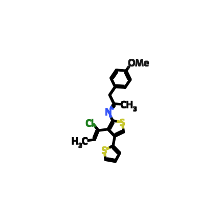 CC=C(Cl)c1c(-c2cccs2)csc1/N=C(\C)Cc1ccc(OC)cc1